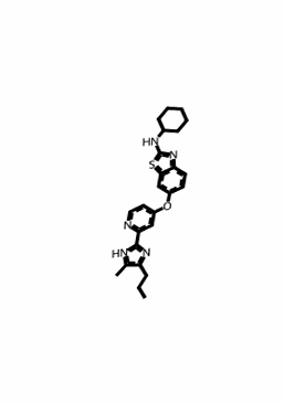 CCCc1nc(-c2cc(Oc3ccc4nc(NC5CCCCC5)sc4c3)ccn2)[nH]c1C